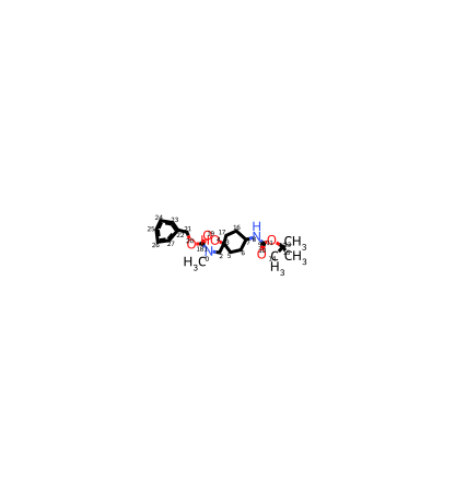 CN(CC1(O)CCC(NC(=O)OC(C)(C)C)CC1)C(=O)OCc1ccccc1